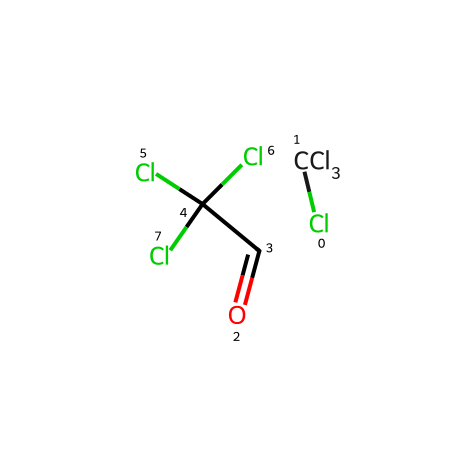 ClC(Cl)(Cl)Cl.O=CC(Cl)(Cl)Cl